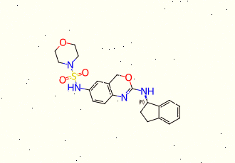 O=S(=O)(Nc1ccc2c(c1)COC(N[C@@H]1CCc3ccccc31)=N2)N1CCOCC1